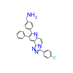 NCc1ccc(-c2nc3ccn4c(-c5ccc(F)cc5)nnc4c3cc2-c2ccccc2)cc1